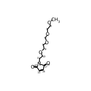 COCCOCOCCOCCN1C(=O)C=CC1=O